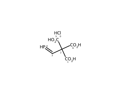 Cl.O=C(O)C(C=P)(C(=O)O)C(=O)O